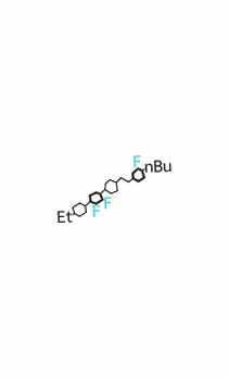 CCCCc1ccc(CCC2CCC(c3ccc(C4CCC(CC)CC4)c(F)c3F)CC2)cc1F